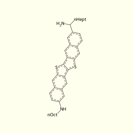 CCCCCCCCNc1ccc2cc3sc4c5cc6cc(C(N)CCCCCCC)ccc6cc5sc4c3cc2c1